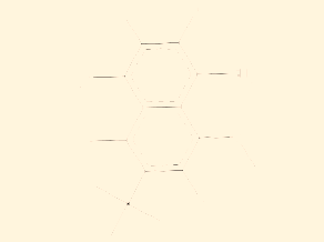 Bc1c(B)c(B)c2c(OC)c(B)c(C(C)(C)C)c(C)c2c1B